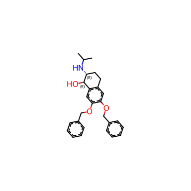 CC(C)N[C@@H]1CCc2cc(OCc3ccccc3)c(OCc3ccccc3)cc2[C@H]1O